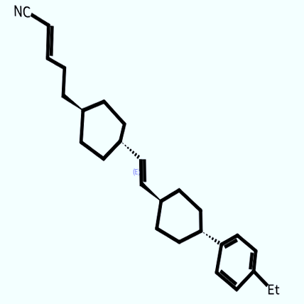 CCc1ccc([C@H]2CC[C@H](/C=C/[C@H]3CC[C@H](CCC=CC#N)CC3)CC2)cc1